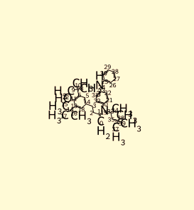 C=C(CCc1cc(C(C)(C)C)c(O)c(C(C)(C)C)c1)N(c1ccc(Nc2ccccc2)cc1)C(C)CC(C)(C)C